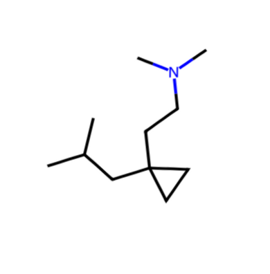 CC(C)CC1(CCN(C)C)CC1